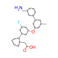 Cc1cc(Oc2cc(F)cc(-c3ccccc3CC(=O)O)c2)cc(-c2cccc(CN)c2)c1